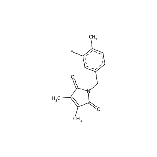 CC1=C(C)C(=O)N(Cc2ccc(C)c(F)c2)C1=O